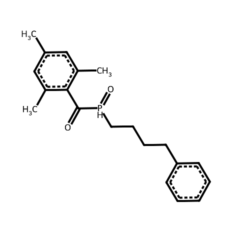 Cc1cc(C)c(C(=O)[PH](=O)CCCCc2ccccc2)c(C)c1